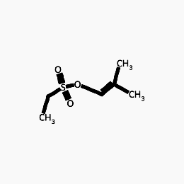 CCS(=O)(=O)OC=C(C)C